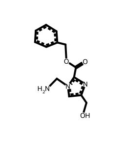 NCn1cc(CO)nc1C(=O)OCc1ccccc1